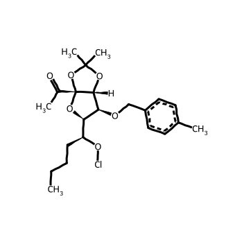 CCCC[C@H](OCl)[C@H]1O[C@]2(C(C)=O)OC(C)(C)O[C@@H]2[C@H]1OCc1ccc(C)cc1